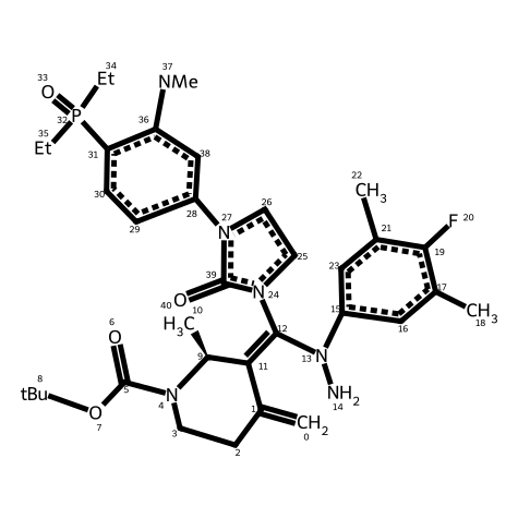 C=C1CCN(C(=O)OC(C)(C)C)[C@@H](C)/C1=C(/N(N)c1cc(C)c(F)c(C)c1)n1ccn(-c2ccc(P(=O)(CC)CC)c(NC)c2)c1=O